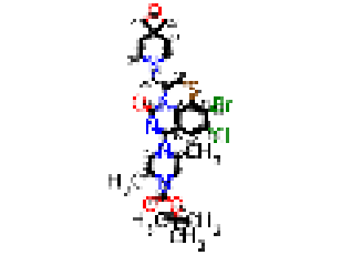 C[C@@H]1CN(c2nc(=O)n3c4c(c(Br)c(Cl)cc24)SC[C@@H]3CN2CCC3(CC2)COC3)[C@@H](C)CN1C(=O)OC(C)(C)C